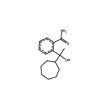 CC(O)(c1ccccc1C(N)=O)C1CCCCCC1